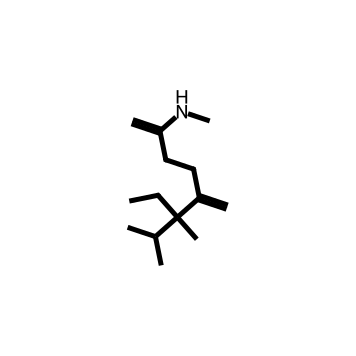 C=C(CCC(=C)C(C)(CC)C(C)C)NC